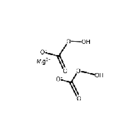 O=C([O-])OO.O=C([O-])OO.[Mg+2]